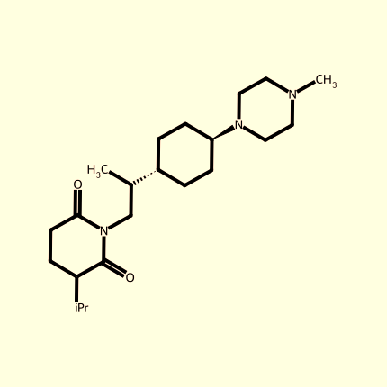 CC(C)C1CCC(=O)N(CC(C)[C@H]2CC[C@H](N3CCN(C)CC3)CC2)C1=O